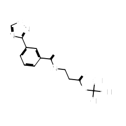 CC(C)(C)OC(=O)CCNC(=O)c1cccc(-c2ncon2)c1